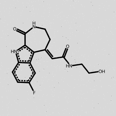 O=C(C=C1CCNC(=O)c2[nH]c3ccc(F)cc3c21)NCCO